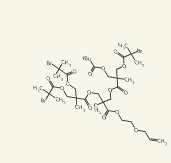 C=CCOCCOC(=O)C(C)(COC(=O)C(C)(COC(=O)C(C)(C)C)COC(=O)C(C)(C)Br)COC(=O)C(C)(COC(=O)C(C)(C)Br)COC(=O)C(C)(C)Br